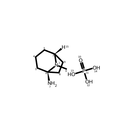 CN1[C@@H]2CCC[C@@]1(N)CC2.O=P(O)(O)O